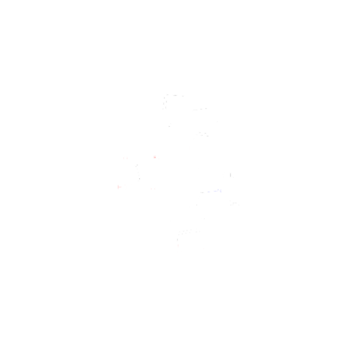 CN(C)C(CCOc1cccc2ccccc12)c1ccc2c(c1)OCO2.O=C(O)C(=O)O